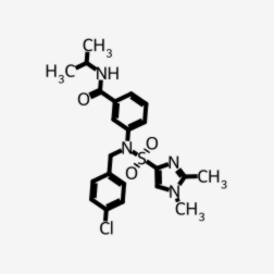 Cc1nc(S(=O)(=O)N(Cc2ccc(Cl)cc2)c2cccc(C(=O)NC(C)C)c2)cn1C